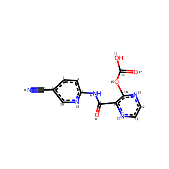 N#Cc1ccc(NC(=O)c2nccnc2OC(=O)O)nc1